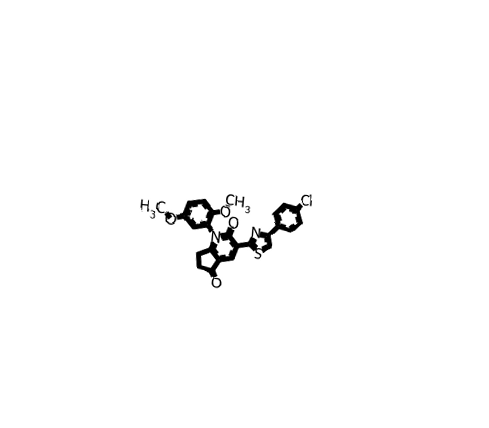 COc1ccc(OC)c(-n2c3c(cc(-c4nc(-c5ccc(Cl)cc5)cs4)c2=O)C(=O)CC3)c1